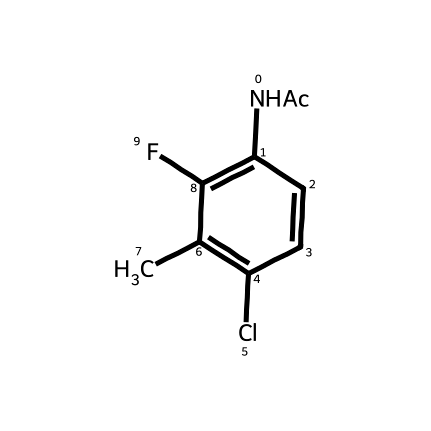 CC(=O)Nc1ccc(Cl)c(C)c1F